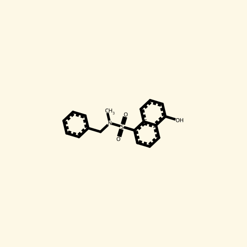 CN(Cc1ccccc1)S(=O)(=O)c1cccc2c(O)cccc12